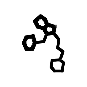 c1ccc(Cn2c(CCCN3CCCCC3)nc3ccccc32)cc1